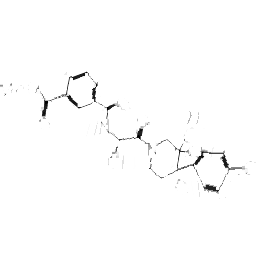 COC(=O)c1cccc(C(=O)N[C@H](C)C(=O)N2CC[C@](O)(c3ccc(Cl)cc3)C(C)(C)C2)c1